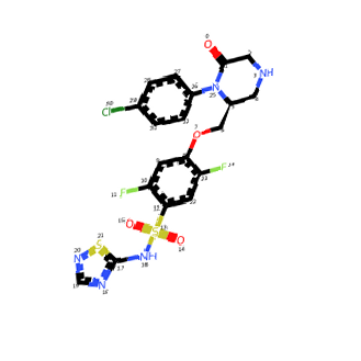 O=C1CNC[C@@H](COc2cc(F)c(S(=O)(=O)Nc3ncns3)cc2F)N1c1ccc(Cl)cc1